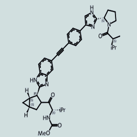 COC(=O)N[C@H](C(=O)C1C[C@@H]2C[C@@H]2[C@H]1c1nc2cc(C#Cc3ccc(-c4c[nH]c([C@@H]5CCCN5C(=O)[C@@H](C)C(C)C)n4)cc3)ccc2[nH]1)C(C)C